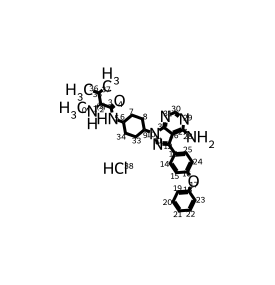 CN[C@H](C(=O)NC1CCC(n2nc(-c3ccc(Oc4ccccc4)cc3)c3c(N)ncnc32)CC1)C(C)C.Cl